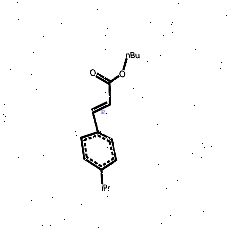 CCCCOC(=O)/C=C/c1ccc(C(C)C)cc1